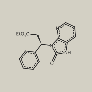 CCOC(=O)C[C@H](c1ccccc1)n1c(=O)[nH]c2cccnc21